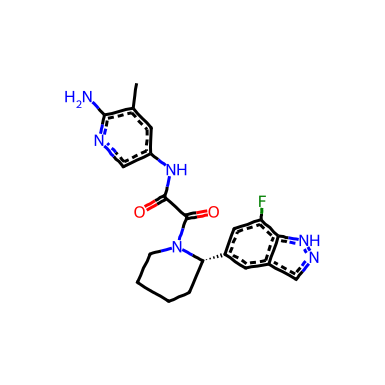 Cc1cc(NC(=O)C(=O)N2CCCC[C@H]2c2cc(F)c3[nH]ncc3c2)cnc1N